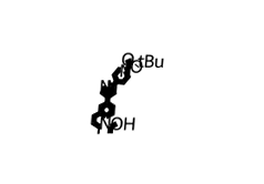 CC(O)N1c2ccc(-c3cnn(C4CCN(C(=O)OC(C)(C)C)CC4)c3)cc2CC[C@@H]1C